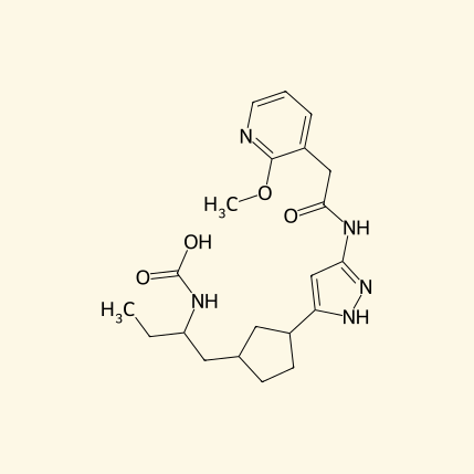 CCC(CC1CCC(c2cc(NC(=O)Cc3cccnc3OC)n[nH]2)C1)NC(=O)O